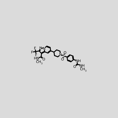 CNC(=O)Nc1ccc(S(=O)(=O)N2CCC(c3ccn4nc(C(F)(F)F)c(C(=O)NC)c4c3)CC2)cc1